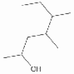 CCC(C)C(C)CC(C)O